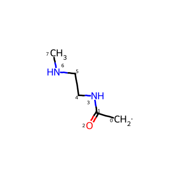 [CH2]C(=O)NCCNC